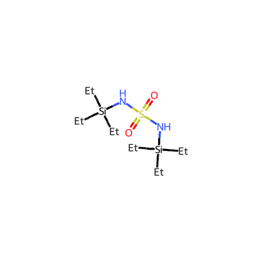 CC[Si](CC)(CC)NS(=O)(=O)N[Si](CC)(CC)CC